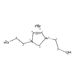 Br.OCCN1C=CN(CCO)C1